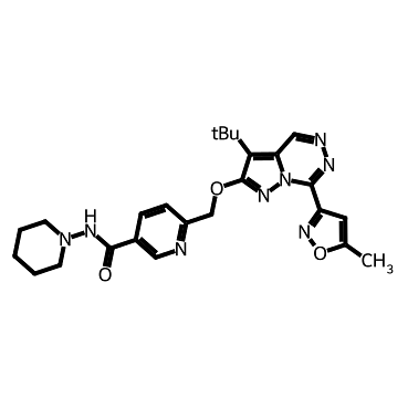 Cc1cc(-c2nncc3c(C(C)(C)C)c(OCc4ccc(C(=O)NN5CCCCC5)cn4)nn23)no1